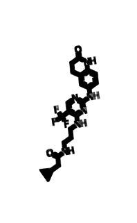 O=C(CC1CC1)NCCCNc1nc(Nc2ccc3c(c2)CCC(=O)N3)ncc1C(F)(F)F